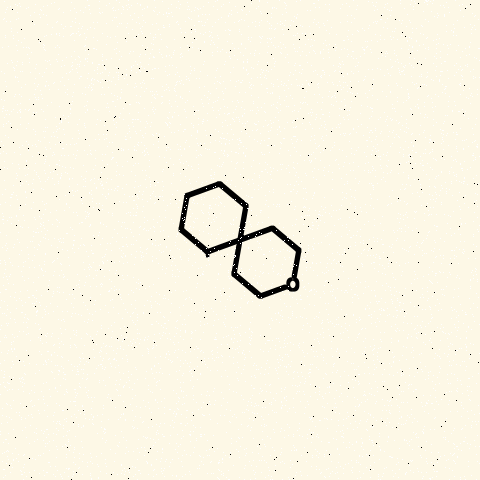 [CH]1CCCCC12CCOCC2